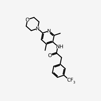 Cc1cc(N2CCOCC2)nc(C)c1NC(=O)Cc1cccc(C(F)(F)F)c1